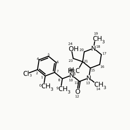 Cc1c(Cl)cccc1C(C)NC(=O)N(C)C1CCN(C)CC1(C)CO